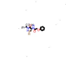 CC(C)[C@@H](NC(=O)[C@H](CS)NC(=O)COc1ccccc1)C(=O)O